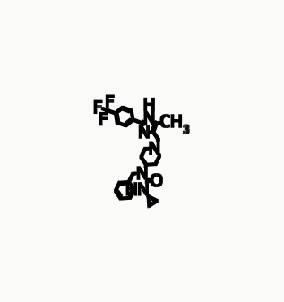 Cc1[nH]c(-c2ccc(C(F)(F)F)cc2)nc1CN1CCC(N(Cc2ccccc2)C(=O)NC2CC2)CC1